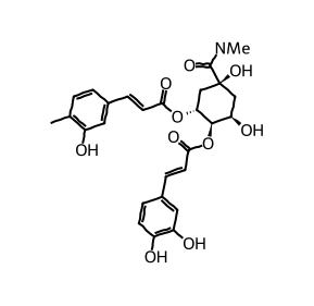 CNC(=O)[C@]1(O)C[C@@H](O)[C@@H](OC(=O)/C=C/c2ccc(O)c(O)c2)[C@H](OC(=O)/C=C/c2ccc(C)c(O)c2)C1